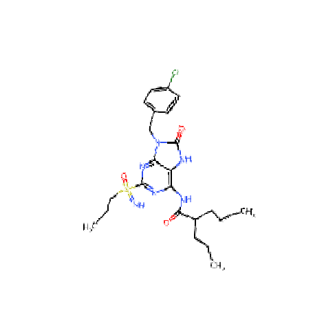 CCCC(CCC)C(=O)Nc1nc(S(=N)(=O)CCC)nc2c1[nH]c(=O)n2Cc1ccc(Cl)cc1